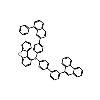 c1ccc(-c2cccc3ccc(-c4ccc(N(c5ccc(-c6cccc(-c7cc8ccccc8c8ccccc78)c6)cc5)c5cccc6oc7ccccc7c56)cc4)cc23)cc1